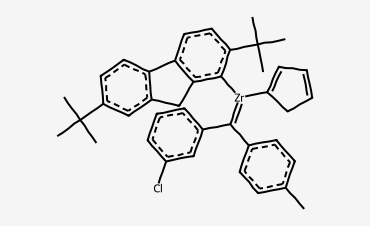 Cc1ccc(/[C](c2cccc(Cl)c2)=[Zr](\[C]2=CC=CC2)[c]2c(C(C)(C)C)ccc3c2Cc2cc(C(C)(C)C)ccc2-3)cc1